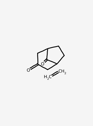 C=C.O=C1CC2CCC(C1)C2=O